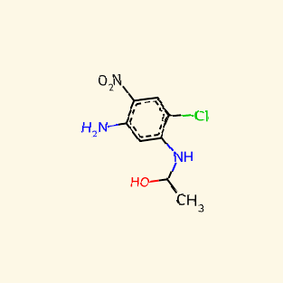 CC(O)Nc1cc(N)c([N+](=O)[O-])cc1Cl